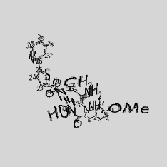 COc1ccc(C[C@@H](C(=O)NO)N(N)/C=C(\N)[C@H](C)NS(=O)(=O)c2ccc(-c3ccccn3)s2)cc1